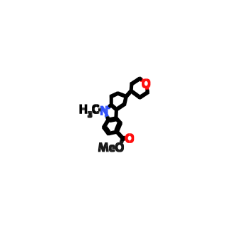 COC(=O)c1ccc2c(c1)C1CC(C3CCOCC3)CCC1N2C